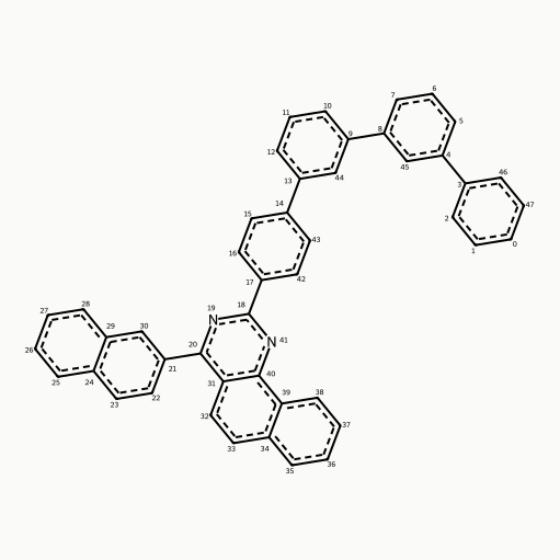 c1ccc(-c2cccc(-c3cccc(-c4ccc(-c5nc(-c6ccc7ccccc7c6)c6ccc7ccccc7c6n5)cc4)c3)c2)cc1